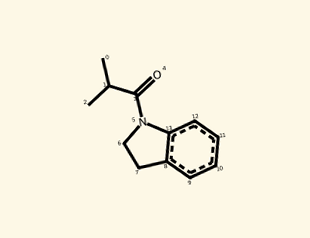 CC(C)C(=O)N1CCc2ccccc21